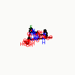 CCC1(O)C(=O)OCc2c1cc1n(c2=O)Cc2c-1nc1cc(F)c(C)c3c1c2C(NC(=O)OCc1ccc(OC2OC(C(=O)O)C(O)C(O)C2O)c(CNC(=O)CCNC(=O)C(CCCCNC(=O)CCOCCOC)NC(=O)CCCCC(=O)N2Cc4ccccc4C#Cc4ccccc42)c1)CC3